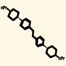 CCC[C@H]1CC[C@H](c2ccc(CCc3ccc([C@H]4CC[C@H](CCC)CC4)cc3)cc2)CC1